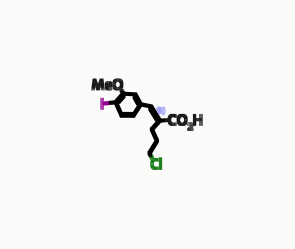 COc1cc(/C=C(\CCCCl)C(=O)O)ccc1I